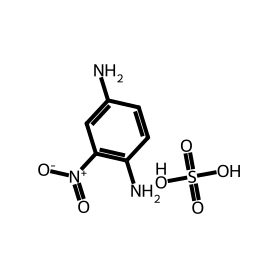 Nc1ccc(N)c([N+](=O)[O-])c1.O=S(=O)(O)O